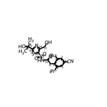 CCC(C)c1cc(C#N)cc(C(C)C)c1CC(=O)NS(=O)(=O)c1sc(C(C)(C)O)nc1CO